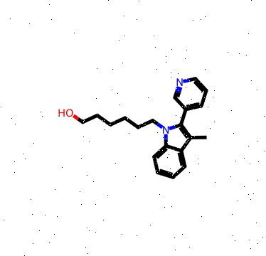 Cc1c(-c2cccnc2)n(CCCCCCO)c2ccccc12